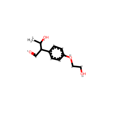 CC(O)C(C=O)c1ccc(OCCO)cc1